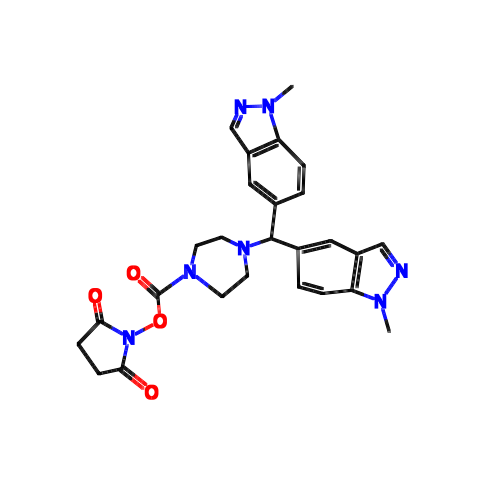 Cn1ncc2cc(C(c3ccc4c(cnn4C)c3)N3CCN(C(=O)ON4C(=O)CCC4=O)CC3)ccc21